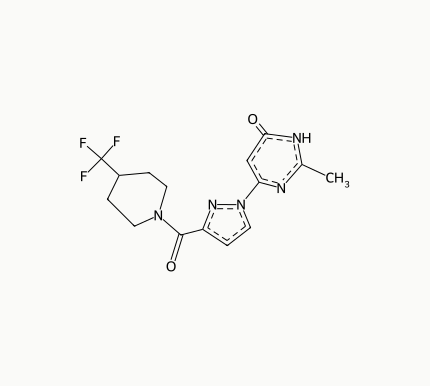 Cc1nc(-n2ccc(C(=O)N3CCC(C(F)(F)F)CC3)n2)cc(=O)[nH]1